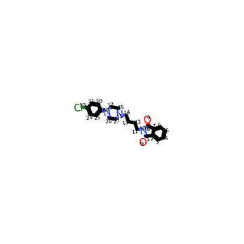 O=C1c2ccccc2C(=O)N1CCCCN1CCN(c2ccc(Cl)cc2)CC1